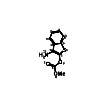 COC(=O)Oc1sc2ncccc2c1N